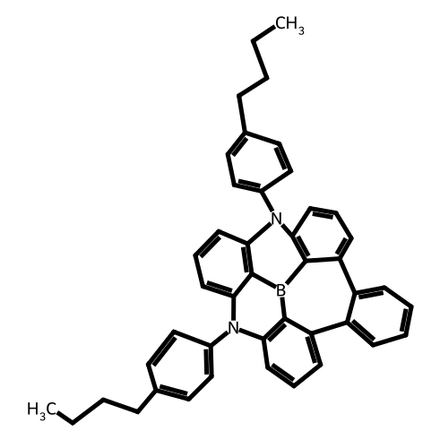 CCCCc1ccc(N2c3cccc4c3B3c5c(cccc5N(c5ccc(CCCC)cc5)c5cccc2c53)-c2ccccc2-4)cc1